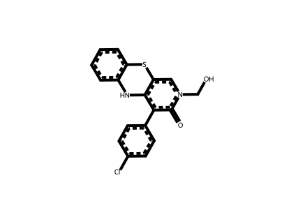 O=c1c(-c2ccc(Cl)cc2)c2c(cn1CO)Sc1ccccc1N2